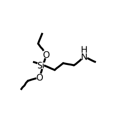 CCO[Si](C)(CCCNC)OCC